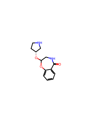 O=C1NCC(O[C@@H]2CCNC2)Oc2ccccc21